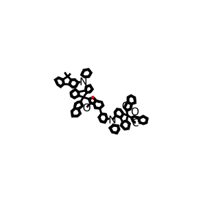 CC1(C)c2ccccc2-c2ccc(N(c3ccccc3)c3cccc4c3-c3ccccc3C43c4ccc5ccccc5c4Oc4c3ccc3ccc(-c5cccc(N(c6ccccc6)c6cccc7c6-c6ccccc6C76c7ccc8ccccc8c7Oc7c6ccc6ccccc76)c5)cc43)cc21